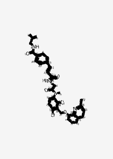 C=C(C)CNC(=O)c1ccc(/C=C/C(=O)NCC(=O)N(C)c2ccc(Cl)c(COc3cccc4ccc(C)nc34)c2Cl)cc1